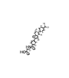 Cc1cc2c(c(C)c1-c1ccc(C(C)C)cc1)C(C)C(c1ccc(C(=O)NCCC(=O)O)cc1)O2